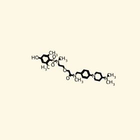 Cc1cc(O)cc(C)c1S(=O)(=O)N(C)CCOCC(=O)N(C)Cc1ccc(N2CCC(N(C)C)CC2)cc1